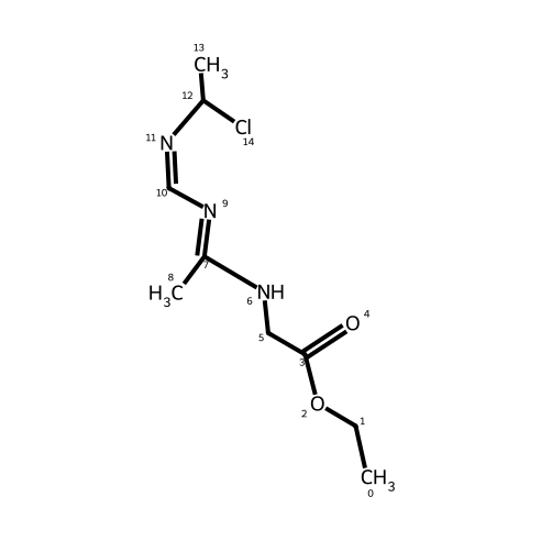 CCOC(=O)CN/C(C)=N/C=N\C(C)Cl